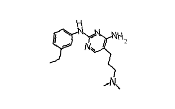 CCc1cccc(Nc2ncc(CCCN(C)C)c(N)n2)c1